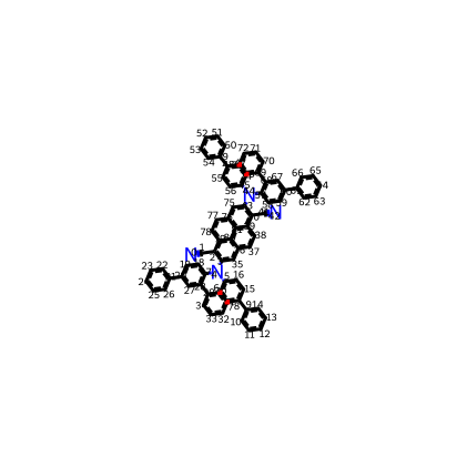 N#Cc1c(N(c2ccc(-c3ccccc3)cc2)c2ccc(-c3ccccc3)cc2-c2ccccc2)cc2ccc3c(C#N)c(N(c4ccc(-c5ccccc5)cc4)c4ccc(-c5ccccc5)cc4-c4ccccc4)cc4ccc1c2c43